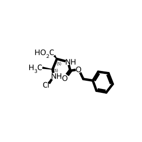 C[C@H](NCl)[C@H](NC(=O)OCc1ccccc1)C(=O)O